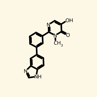 Cn1c(-c2cccc(-c3ccc4[nH]cnc4c3)c2)ncc(O)c1=O